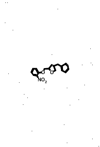 O=[N+]([O-])c1ccccc1OCC1CC(Cc2ccccc2)CO1